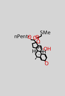 CCCCCOCC(=O)[C@@]1(OC(=O)CSC)CC[C@H]2[C@@H]3C[C@H](C)C4=CC(=O)C=C[C@]4(C)[C@H]3[C@@H](O)C[C@@]21C